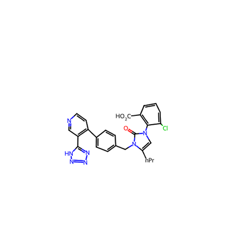 CCCc1cn(-c2c(Cl)cccc2C(=O)O)c(=O)n1Cc1ccc(-c2ccncc2-c2nnn[nH]2)cc1